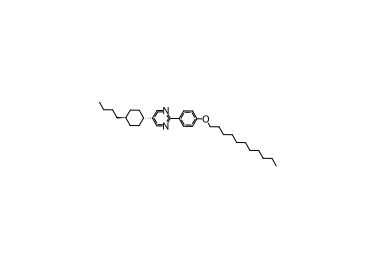 CCCCCCCCCCCOc1ccc(-c2ncc([C@H]3CC[C@H](CCCC)CC3)cn2)cc1